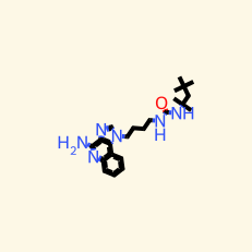 CC(C)(C)CC(C)(C)NC(=O)NCCCCn1cnc2c(N)nc3ccccc3c21